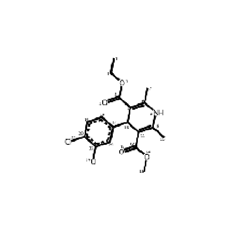 CCOC(=O)C1=C(C)NC(C)=C(C(=O)OC)C1c1ccc(Cl)c(Cl)c1